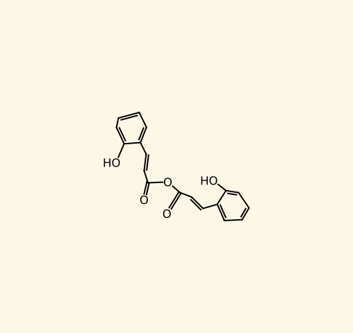 O=C(C=Cc1ccccc1O)OC(=O)C=Cc1ccccc1O